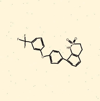 O=S1(=O)CCc2cccc(-c3ccc(Oc4cccc(C(F)(F)F)c4)cc3)c2N1